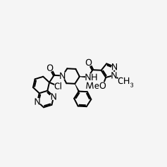 COc1c(C(=O)N[C@@H]2CCN(C(=O)C3(Cl)CC=Cc4nccnc43)C[C@@H]2c2ccccc2)cnn1C